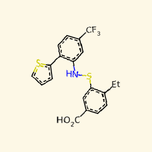 CCc1ccc(C(=O)O)cc1SNc1cc(C(F)(F)F)ccc1-c1cccs1